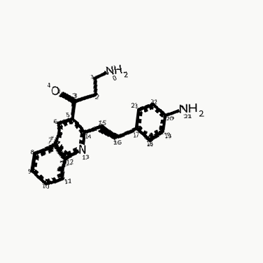 NCCC(=O)c1cc2ccccc2nc1C=Cc1ccc(N)cc1